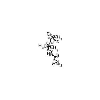 CCNCCC(=O)NCCC(C)(C)OCCC(C)(CC)C(C)=O